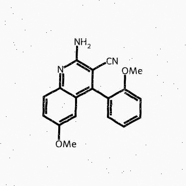 COc1ccc2nc(N)c(C#N)c(-c3ccccc3OC)c2c1